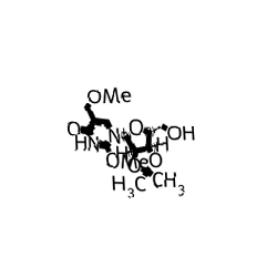 COCc1c[n+]([C@@H]2O[C@H](CO)[C@H]3OC(C)(C)O[C@H]32)c(OC)[nH]c1=O